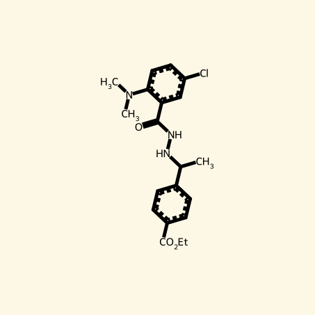 CCOC(=O)c1ccc(C(C)NNC(=O)c2cc(Cl)ccc2N(C)C)cc1